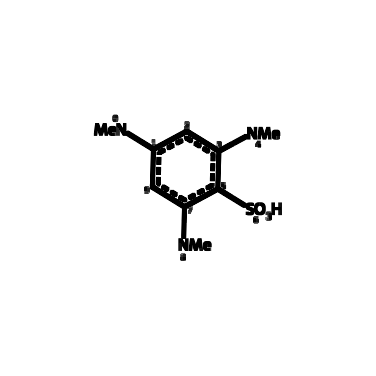 CNc1cc(NC)c(S(=O)(=O)O)c(NC)c1